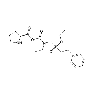 CCOP(=O)(CCc1ccccc1)CN(CC)C(=O)OC(=O)[C@@H]1CCCN1